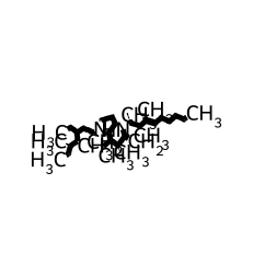 C=C(N[C@H](C)[C@@H](C)/C(C)=C/CCCCC)[C@H](C)C(CC)C1CCCN1C(=C)CC(CC)C(C)[C@@H](C)CC